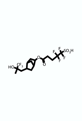 CC(O)(CC1CC2CC1CC2OC(=O)CCC(F)(F)C(F)(F)S(=O)(=O)O)C(F)(F)F